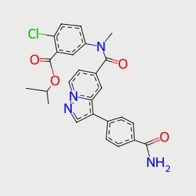 CC(C)OC(=O)c1cc(N(C)C(=O)c2ccn3ncc(-c4ccc(C(N)=O)cc4)c3c2)ccc1Cl